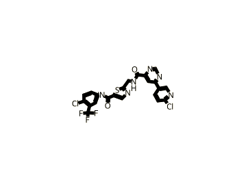 O=C(NCc1ncc(C(=O)Nc2ccc(Cl)c(C(F)(F)F)c2)s1)c1cc(-c2ccc(Cl)nc2)ncn1